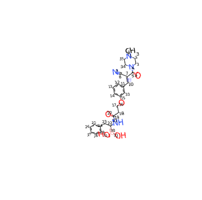 CN1CCN(C(=O)/C(C#N)=C/c2cccc(OCCC(=O)NC(Cc3ccccc3)B(O)O)c2)CC1